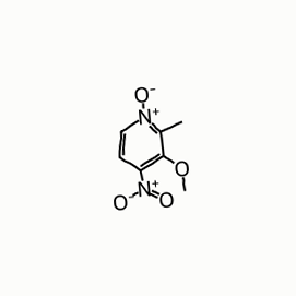 COc1c([N+](=O)[O-])cc[n+]([O-])c1C